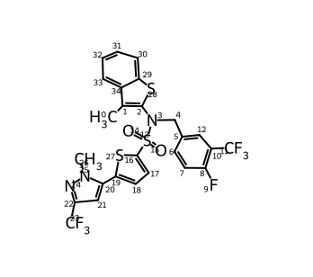 Cc1c(N(Cc2ccc(F)c(C(F)(F)F)c2)S(=O)(=O)c2ccc(-c3cc(C(F)(F)F)nn3C)s2)sc2ccccc12